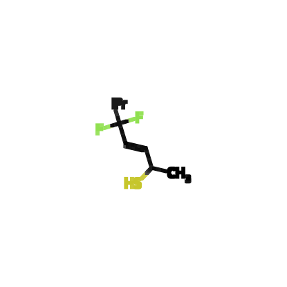 CC(S)C=CC(F)(F)C(C)C